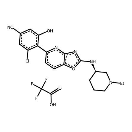 CCN1CCC[C@@H](Nc2nc3nc(-c4c(O)cc(C#N)cc4Cl)ccc3o2)C1.O=C(O)C(F)(F)F